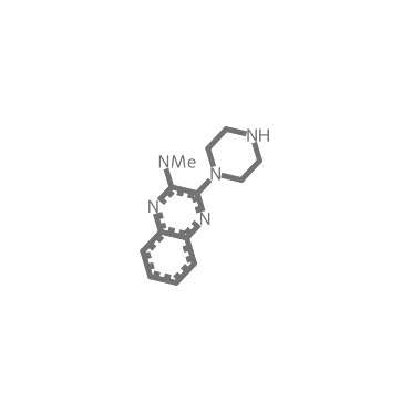 CNc1nc2ccccc2nc1N1CCNCC1